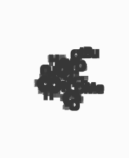 CO[C@@H]1COCC[C@@H]1N(C(=O)C(F)(F)F)[C@@H]1C[C@H]2CCC[C@@]2(C(=O)N2C[C@@H]3C[C@H]2CN3C(=O)OC(C)(C)C)C1